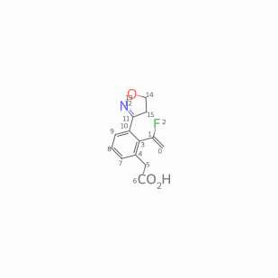 C=C(F)c1c(CC(=O)O)cccc1C1=NOCC1